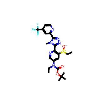 CCN(C(=O)OC(C)(C)C)c1cnc(-c2nnc(-c3cc(C(F)(F)F)ccn3)n2C)c([S+]([O-])CC)c1